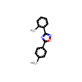 Cc1ccccc1-c1noc(-c2ccc(C(=O)O)cc2)n1